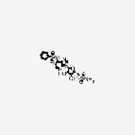 NS(=O)(=O)OC[C@H]1O[C@@H](n2cnc3c(NS(=O)(=O)c4ccccc4)ncnc32)[C@H](O)[C@@H]1O